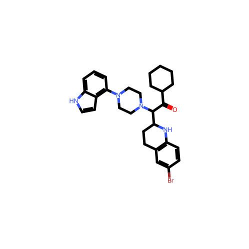 O=C(C1CCCCC1)C(C1CCc2cc(Br)ccc2N1)N1CCN(c2cccc3[nH]ccc23)CC1